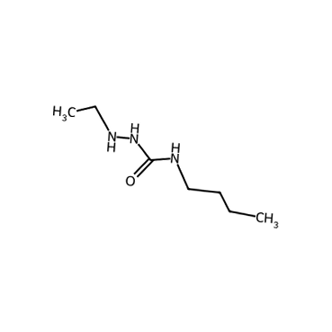 CCCCNC(=O)NNCC